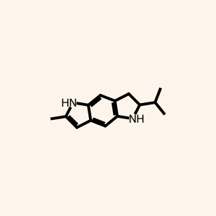 Cc1cc2cc3c(cc2[nH]1)CC(C(C)C)N3